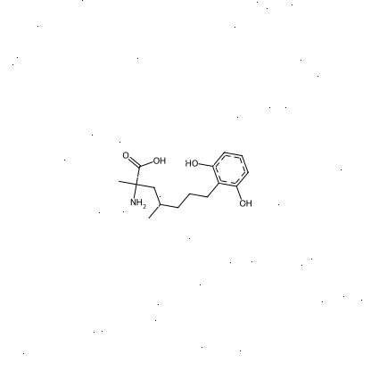 CC(CCCc1c(O)cccc1O)CC(C)(N)C(=O)O